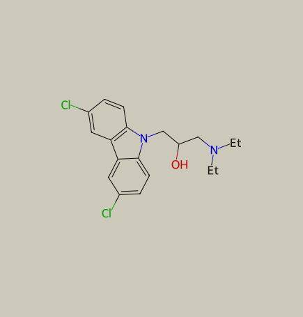 CCN(CC)CC(O)Cn1c2ccc(Cl)cc2c2cc(Cl)ccc21